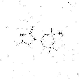 CC1CN(C2CC(C)(C)CC(C)(N)C2)C(=O)N1